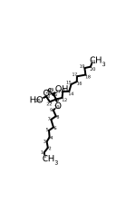 CCCCCCCCCCOC(CCCCCCCCCC)(CC(=O)O)C(O)=S